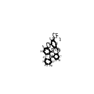 FC(F)(F)c1cc2c3c(c1)Oc1cccc4c1B3c1c(cccc1N4c1ccccc1)O2